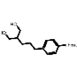 CCCCCc1ccc(CCCC(CO)CO)cc1